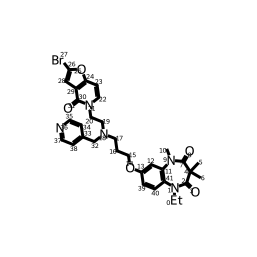 CCN1C(=O)C(C)(C)C(=O)N(C)c2cc(OCCCN(CCn3ccc4oc(Br)cc4c3=O)Cc3ccncc3)ccc21